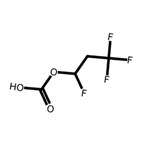 O=C(O)OC(F)CC(F)(F)F